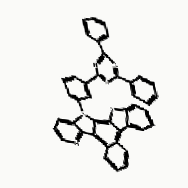 c1ccc(-c2nc(-c3ccccc3)nc(-c3cccc(-n4c5cccnc5c5c6ccccc6c6c7ccccc7sc6c54)c3)n2)cc1